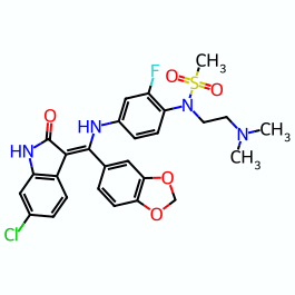 CN(C)CCN(c1ccc(N/C(=C2\C(=O)Nc3cc(Cl)ccc32)c2ccc3c(c2)OCO3)cc1F)S(C)(=O)=O